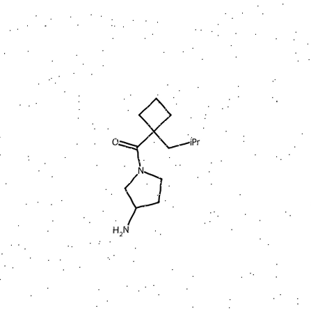 CC(C)CC1(C(=O)N2CCC(N)C2)CCC1